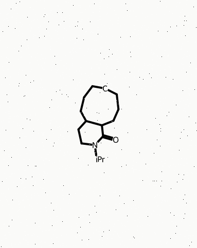 CC(C)N1CCC2CCCCCCCC2C1=O